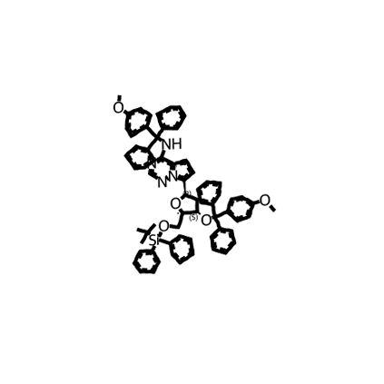 COc1ccc(C(Nc2ncnn3c([C@H]4C[C@H](OC(c5ccccc5)(c5ccccc5)c5ccc(OC)cc5)[C](CO[Si](c5ccccc5)(c5ccccc5)C(C)(C)C)O4)ccc23)(c2ccccc2)c2ccccc2)cc1